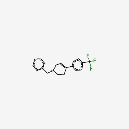 FC(F)(F)c1ccc(C2=CC[C](Cc3ccccc3)CC2)cc1